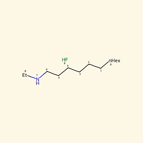 CCCCCCCCCCCCNCC.F